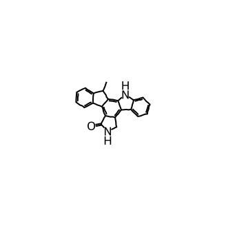 CC1c2ccccc2-c2c3c(c4c([nH]c5ccccc54)c21)CNC3=O